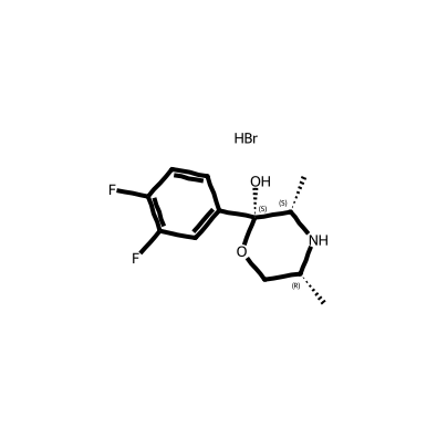 Br.C[C@@H]1CO[C@@](O)(c2ccc(F)c(F)c2)[C@H](C)N1